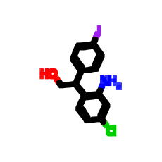 Nc1cc(Cl)ccc1C(CO)c1ccc(I)cc1